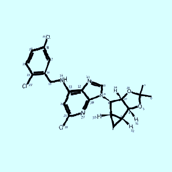 CC1(C)O[C@@H]2[C@@H]3C[C@@H]3[C@@H](n3cnc4c(NCc5cc(Cl)ccc5Cl)cc(Cl)nc43)[C@@H]2O1